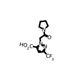 O=C(O)c1cc(C(F)(F)F)nn1CC(=O)N1CCCC1